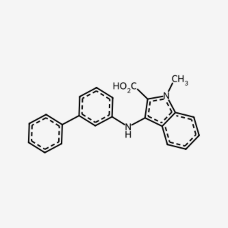 Cn1c(C(=O)O)c(Nc2cccc(-c3ccccc3)c2)c2ccccc21